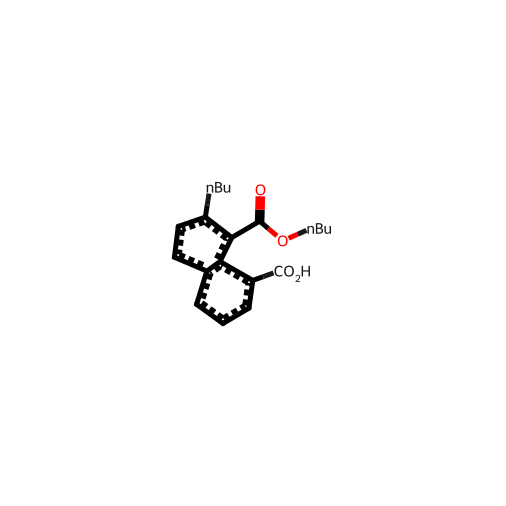 CCCCOC(=O)c1c(CCCC)ccc2cccc(C(=O)O)c12